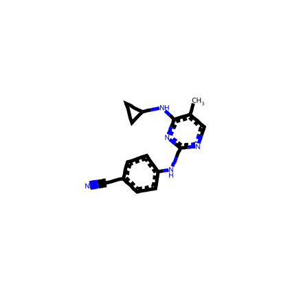 Cc1cnc(Nc2ccc(C#N)cc2)nc1NC1CC1